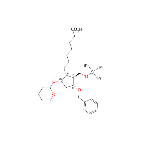 CC(C)[Si](OC[C@@H]1[C@@H](CCCCCCC(=O)O)[C@@H](OC2CCCCO2)C[C@H]1OCc1ccccc1)(C(C)C)C(C)C